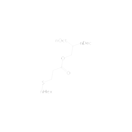 CCCCCCCCCCC(CCCCCCCC)COC(=O)CCSCCCCCC